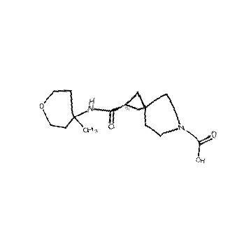 CC1(NC(=O)[C@H]2CC23CCN(C(=O)O)CC3)CCOCC1